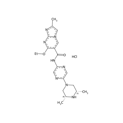 CCOc1nc2nc(C)cn2cc1C(=O)Nc1cnc(N2C[C@@H](C)N[C@@H](C)C2)cn1.Cl